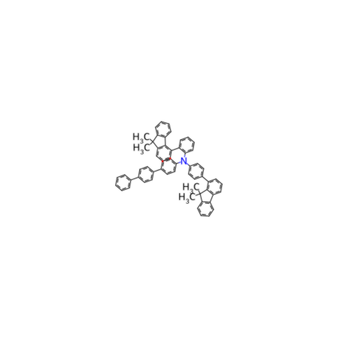 CC1(C)c2ccccc2-c2c(-c3ccccc3N(c3ccc(-c4ccc(-c5ccccc5)cc4)cc3)c3ccc(-c4cccc5c4C(C)(C)c4ccccc4-5)cc3)cccc21